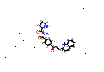 O=C(C=Cc1ccc2ccccc2n1)c1ccc(C(=O)NC(=O)C2CCCN2)cc1